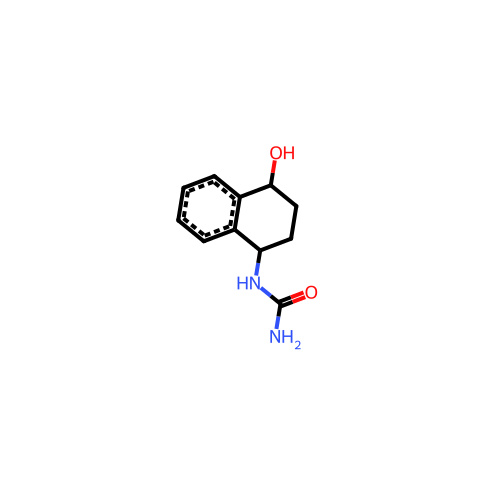 NC(=O)NC1CCC(O)c2ccccc21